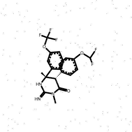 CN1C(=N)N[C@](C)(c2cccc(OC(F)(F)F)c2)[C@H](c2ccc(OC(F)F)cc2)C1=O